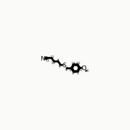 COc1ccc(CSCCCCC#N)cc1